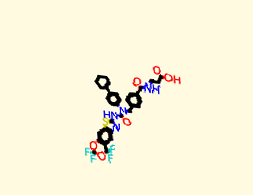 O=C(O)CCNC(=O)c1ccc(CN(C(=O)Nc2nc3cc4c(cc3s2)OC(F)(F)OC4(F)F)c2ccc(C3=CCCCC3)cc2)cc1